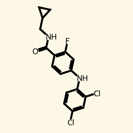 O=C(NCC1CC1)c1ccc(Nc2ccc(Cl)cc2Cl)cc1F